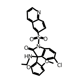 COc1ccccc1C1(NC(C)=O)C(=O)N(S(=O)(=O)c2ccc3ncccc3c2)c2ccc(Cl)cc21